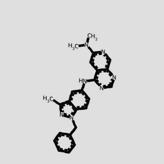 Cc1nn(Cc2ccccc2)c2ccc(Nc3ncnc4cnc(N(C)C)cc34)cc12